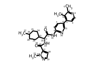 Cc1nccc(-c2ccc(NC(=O)[C@@H](NC(=O)c3ccnn3C)C3CCC(C)CC3)nc2)c1C